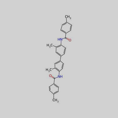 Cc1ccc(C(=O)Nc2ccc(-c3ccc(NC(=O)c4ccc(C)cc4)c(C)c3)cc2C)cc1